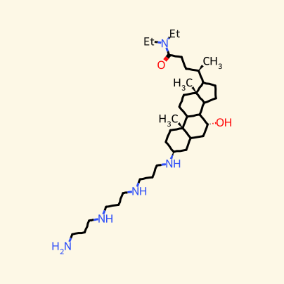 CCN(CC)C(=O)CC[C@@H](C)C1CCC2C3C(CC[C@@]21C)[C@@]1(C)CC[C@H](NCCCNCCCNCCCN)CC1C[C@H]3O